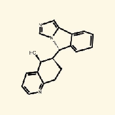 O[C@@H]1c2cccnc2CC[C@@H]1[C@H]1c2ccccc2-c2cncn21